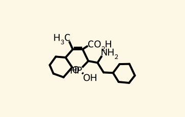 C/C(=C(\C(=O)O)C(C(N)CC1CCCCC1)[PH](=O)O)C1CCCCC1